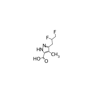 Cc1c(CC(F)CF)n[nH]c1C(=O)O